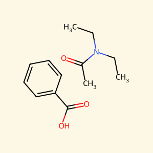 CCN(CC)C(C)=O.O=C(O)c1ccccc1